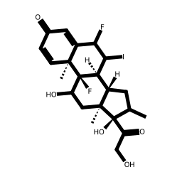 CC1C[C@H]2[C@@H]3C(I)C(F)C4=CC(=O)C=C[C@]4(C)[C@@]3(F)C(O)C[C@]2(C)[C@@]1(O)C(=O)CO